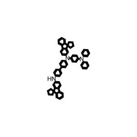 c1ccc(N(c2ccccc2)c2ccc(N(c3ccc(-c4ccc(Nc5ccc6c(c5)C5(CCCC5)c5ccccc5-6)cc4)cc3)c3ccc4c(c3)C3(CCCC3)c3ccccc3-4)cc2)cc1